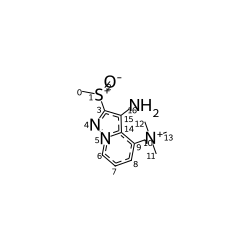 C[S+]([O-])c1nn2cccc([N+](C)(C)C)c2c1N